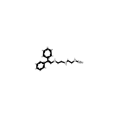 CCCCOCCOCCOC=C(c1ccccc1)c1ccccc1